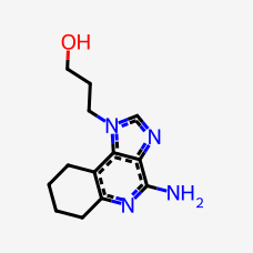 Nc1nc2c(c3c1ncn3CCCO)CCCC2